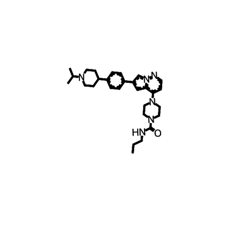 CCCNC(=O)N1CCN(c2ccnn3cc(-c4ccc(C5CCN(C(C)C)CC5)cc4)cc23)CC1